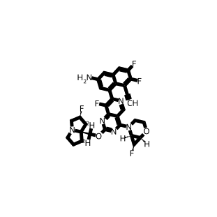 [2H]C([2H])(Oc1nc(N2CCO[C@H]3[C@H](F)[C@H]32)c2cnc(-c3cc(N)cc4cc(F)c(F)c(C#C)c34)c(F)c2n1)[C@@]12CCCN1C[C@H](F)C2